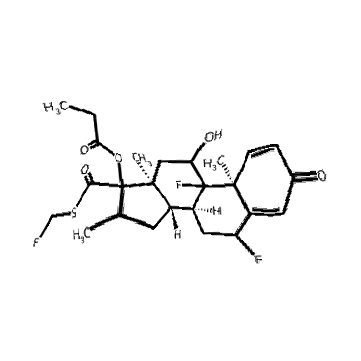 CCC(=O)OC1(C(=O)SCF)C(C)C[C@H]2[C@@H]3CC(F)C4=CC(=O)C=C[C@]4(C)C3(F)C(O)C[C@@]21C